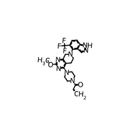 C=CC(=O)N1CCN(c2nc(OC)nc3c2CCN(c2c(C(F)(F)F)ccc4[nH]ncc24)C3)CC1